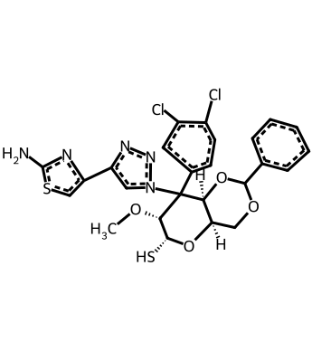 CO[C@H]1[C@@H](S)O[C@@H]2COC(c3ccccc3)O[C@@H]2C1(c1ccc(Cl)c(Cl)c1)n1cc(-c2csc(N)n2)nn1